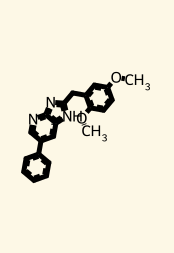 COc1ccc(OC)c(Cc2nc3ncc(-c4ccccc4)cc3[nH]2)c1